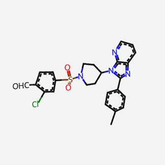 Cc1ccc(-c2nc3cccnc3n2C2CCN(S(=O)(=O)c3ccc(C=O)c(Cl)c3)CC2)cc1